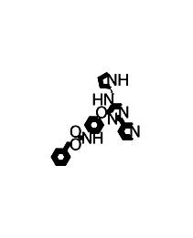 O=C(Nc1ccc(Oc2nc(-c3cccnc3)ncc2NC[C@@H]2CCCN2)cc1)OCc1ccccc1